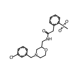 CS(=O)(=O)c1ccccc1CC(=O)NCC1CN(Cc2cccc(Cl)c2)CCO1